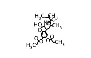 CCC(=O)Oc1ccc(C(CC(C)OC(=O)C(C)CC)[C@H](N)C(=O)O)cc1OC(=O)CC